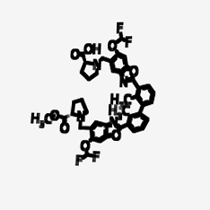 COC(=O)[C@@H]1CCCN1Cc1cc2nc(-c3cccc(-c4cccc(-c5nc6cc(CN7CCC[C@H]7C(=O)O)c(OC(F)F)cc6o5)c4C)c3C)oc2cc1OC(F)F